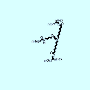 CCCCCCCCC(CCCCCC)COC(=O)CCCCCCCN(CCCCCCCC(=O)OCC(CCCCCC)CCCCCCCC)CCN(C)CCCCNC(=O)CCCCCCC